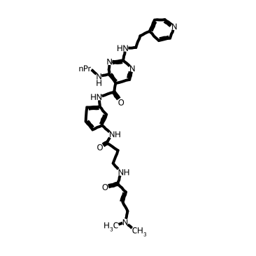 CCCNc1nc(NCCc2ccncc2)ncc1C(=O)Nc1cccc(NC(=O)CCNC(=O)/C=C/CN(C)C)c1